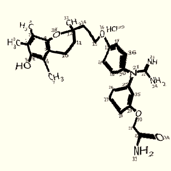 Cc1c(C)c2c(c(C)c1O)CCC(C)(CCOc1ccc(N(C(=N)N)c3cccc(OCC(N)=O)c3)cc1)O2.Cl